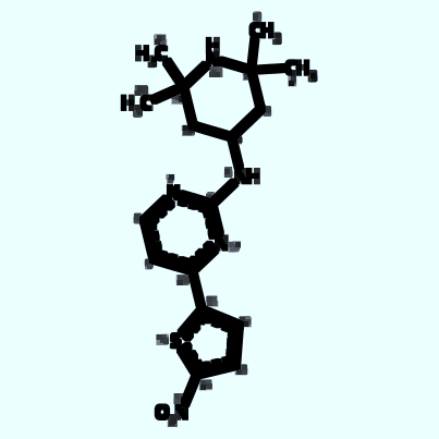 CC1(C)CC(Nc2nccc(-c3ccc([N+](=O)[O-])s3)n2)CC(C)(C)N1